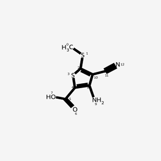 CSc1sc(C(=O)O)c(N)c1C#N